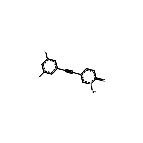 CC(C)n1cc(C#Cc2cc(F)cc(F)c2)ccc1=O